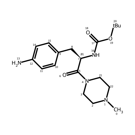 CN1CCN(C(=O)[C@@H](Cc2ccc(N)cc2)NC(=O)OC(C)(C)C)CC1